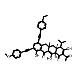 CCc1ccc(C#Cc2cc(C#Cc3ccc(OC)cc3)c(O)c3c2C[C@]2(C)C[C@]4(C)C(C(C)C)C(O)=C(C(C)=O)C(=O)[C@]4(O)C(O)=C2C3=O)cc1